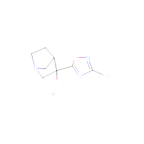 Cc1noc(C2(O)CN3CCC2C3)n1.Cl